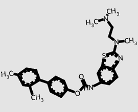 Cc1ccc(-c2ccc(OC(=O)Nc3ccc4nc(N(C)CCN(C)C)sc4c3)cc2)c(C)c1